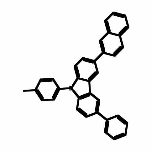 Cc1ccc(-n2c3ccc(-c4ccccc4)cc3c3cc(-c4ccc5ccccc5c4)ccc32)cc1